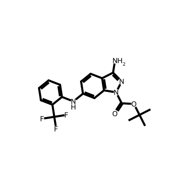 CC(C)(C)OC(=O)n1nc(N)c2ccc(Nc3ccccc3C(F)(F)F)cc21